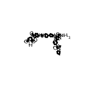 NC(=O)c1ncc(N2CCCC(N3CCN(C4CCCC4)C3=O)C2)nc1Nc1ccc(C2CCN(C3CN(c4ccc5c(c4)C(=O)N(C4CCC(=O)NC4=O)C5=O)C3)CC2)cc1